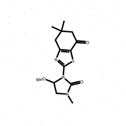 COC1CN(C)C(=O)N1c1nc2c(s1)C(=O)CC(C)(C)C2